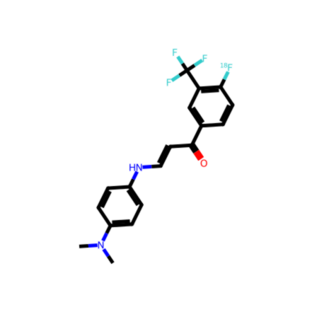 CN(C)c1ccc(NC=CC(=O)c2ccc([18F])c(C(F)(F)F)c2)cc1